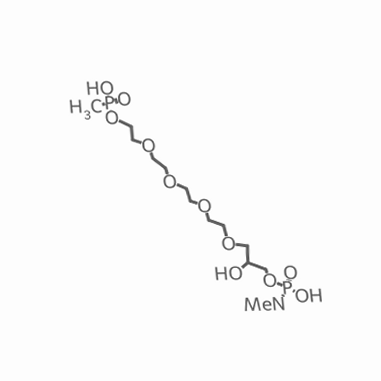 CNP(=O)(O)OCC(O)COCCOCCOCCOCCOP(C)(=O)O